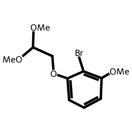 COc1cccc(OCC(OC)OC)c1Br